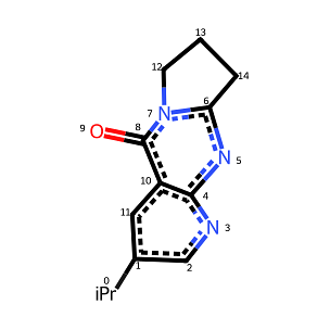 CC(C)c1cnc2nc3n(c(=O)c2c1)CCC3